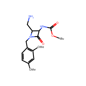 COc1ccc(CN2C(=O)C(NC(=O)OC(C)(C)C)C2CN)c(OC)c1